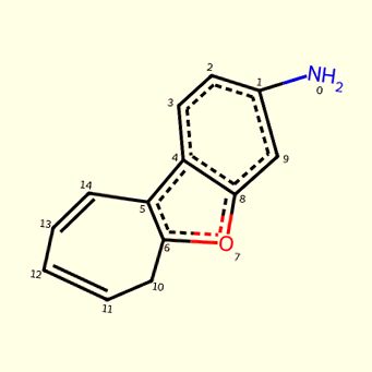 Nc1ccc2c3c(oc2c1)CC=CC=C3